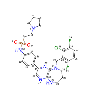 O=S(=O)(CCN1CCCC1)Nc1ccc(-c2cnc3c(n2)N(Cc2c(F)ccc(F)c2Cl)CCCN3)cc1